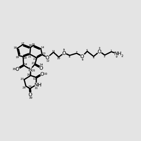 NCCOCCOCCOCCOc1ccc2cccc3c2c1C(=O)N(C1CCC(=O)NC1=O)C3=O